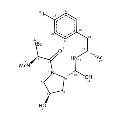 CN[C@H](C(=O)N1C[C@H](O)C[C@H]1C(O)N[C@H](Cc1ccc(I)cc1)C(C)=O)C(C)(C)C